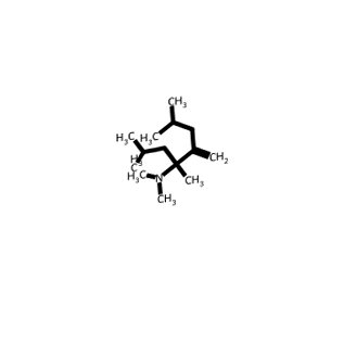 C=C(CC(C)C)C(C)(CC(C)C)N(C)C